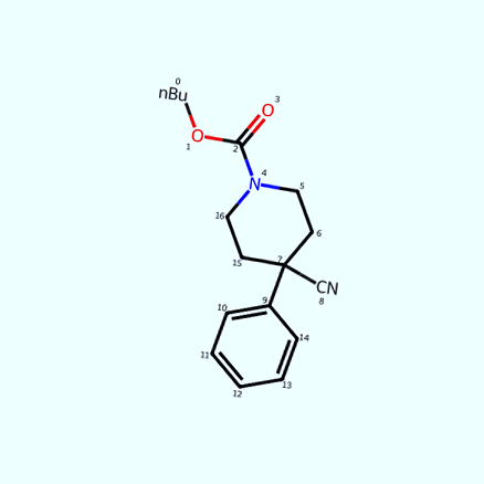 CCCCOC(=O)N1CCC(C#N)(c2ccccc2)CC1